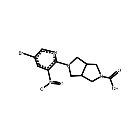 O=C(O)N1CC2CN(c3ncc(Br)cc3[N+](=O)[O-])CC2C1